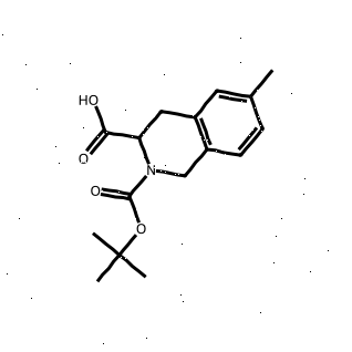 Cc1ccc2c(c1)CC(C(=O)O)N(C(=O)OC(C)(C)C)C2